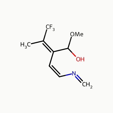 C=N/C=C\C(=C(/C)C(F)(F)F)C(O)OC